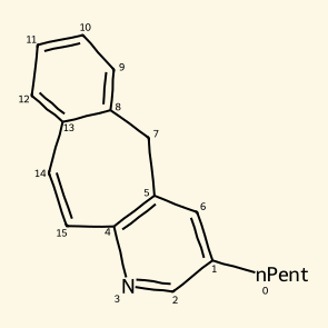 CCCCCc1cnc2c(c1)Cc1ccccc1C=C2